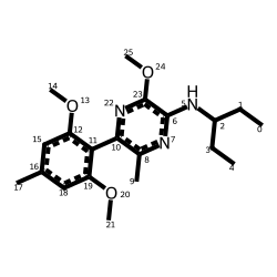 CCC(CC)Nc1nc(C)c(-c2c(OC)cc(C)cc2OC)nc1OC